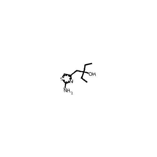 CCC(O)(CC)Cc1csc(N)n1